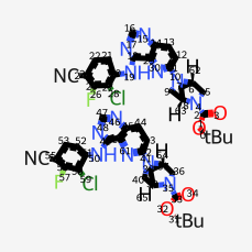 CC(C)(C)OC(=O)N1C[C@@H]2C[C@H]1CN2c1ccc2ncnc(Nc3ccc(C#N)c(F)c3Cl)c2n1.CC(C)(C)OC(=O)N1C[C@@H]2C[C@H]1CN2c1ccc2ncnc(Nc3ccc(C#N)c(F)c3Cl)c2n1